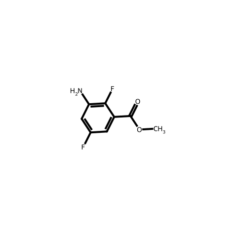 COC(=O)c1cc(F)cc(N)c1F